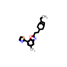 C=CC1CC2CC(CCc3nc4cc(C(F)(F)F)cc(-c5nccs5)c4o3)CC1C2